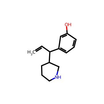 C=CC(c1cccc(O)c1)C1CCCNC1